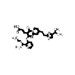 CCSC(N)c1ncccc1Sc1nc2cc(CCc3nc(C(C)C)cs3)ccn2c(=O)c1/C=C/C(=O)O